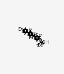 CCc1ccc(-c2ccc(C(CC)(CC)c3ccc(OCC(O)C(C)(C)C)c(C)c3)cc2C)cc1